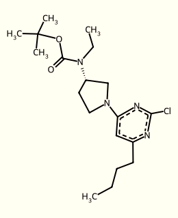 CCCCc1cc(N2CC[C@H](N(CC)C(=O)OC(C)(C)C)C2)nc(Cl)n1